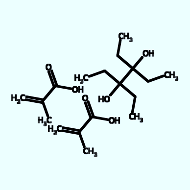 C=C(C)C(=O)O.C=C(C)C(=O)O.CCC(O)(CC)C(O)(CC)CC